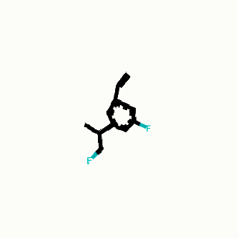 C=Cc1cc(F)cc([C](C)CF)c1